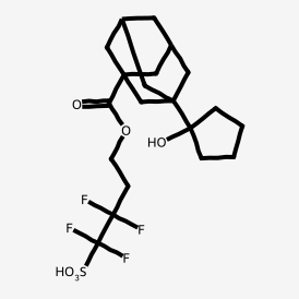 O=C(OCCC(F)(F)C(F)(F)S(=O)(=O)O)C12CC3CC(C1)CC(C1(O)CCCC1)(C3)C2